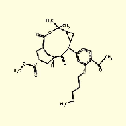 COCCCOc1cc(N2C(=O)[C@@H]3C[C@H](C(=O)OC)CN(C3)C(=O)OC(C)(C)C3CC32)ccc1C(C)=O